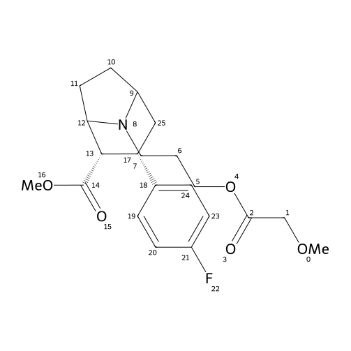 COCC(=O)OCCCN1C2CCC1[C@@H](C(=O)OC)[C@@H](c1ccc(F)cc1)C2